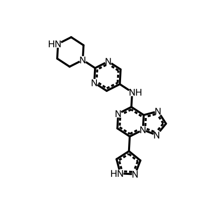 c1nc2c(Nc3cnc(N4CCNCC4)nc3)ncc(-c3cn[nH]c3)n2n1